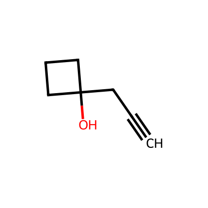 C#CCC1(O)CCC1